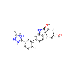 Cc1nnc(-c2ccc(C)c(-c3ccc4c(c3)NC(=O)C43CCC(O)CC3)c2)[nH]1